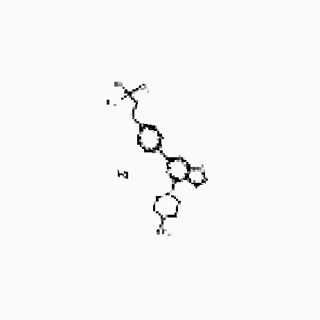 CN1CCN(c2nc(-c3ccc(OCC(C)(C)O)cc3)cc3sccc23)CC1.Cl